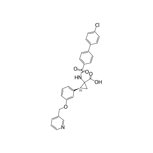 O=C(O)C1(NS(=O)(=O)c2ccc(-c3ccc(Cl)cc3)cc2)C[C@H]1c1cccc(OCc2cccnc2)c1